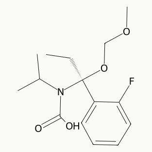 CC[C@](OCOC)(c1ccccc1F)N(C(=O)O)C(C)C